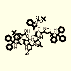 CSCC[C@H](NC(=O)[C@H](CC(C)C)NC(=O)[C@H](Cc1cn(C(=O)OC(C)(C)C)c2ccccc12)NC(=O)[C@@H](N)CCC(=O)NC(c1ccccc1)(c1ccccc1)c1ccccc1)C(=O)N[C@@H](CC(=O)NC(c1ccccc1)(c1ccccc1)c1ccccc1)C(=O)N[C@H](C(=O)O)[C@@H](C)OC(C)(C)C